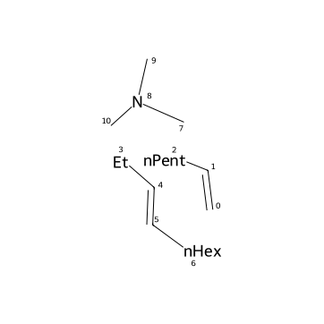 C=CCCCCC.CCC=CCCCCCC.CN(C)C